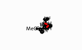 CCc1cccc2cc(OCOC)cc(-c3nc4c5c(nc(OC[C@@]67CCCN6C[C@@H](F)C7)nc5c3F)N3C[C@H]5CC[C@@H]([C@H]3CO4)N5C(=O)OC(C)(C)C)c12